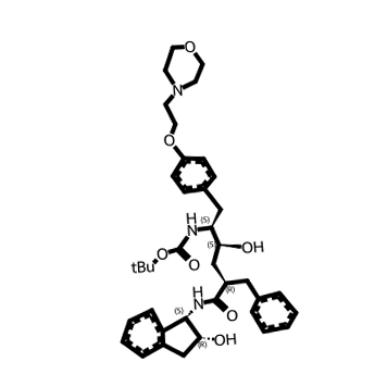 CC(C)(C)OC(=O)N[C@@H](Cc1ccc(OCCN2CCOCC2)cc1)[C@@H](O)C[C@@H](Cc1ccccc1)C(=O)N[C@H]1c2ccccc2C[C@H]1O